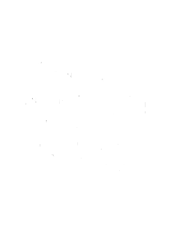 CCOC(=O)C(C)(C)Oc1ccc(CN(C)c2sc(-c3ccc(C(F)(F)F)cc3)nc2C)cc1C